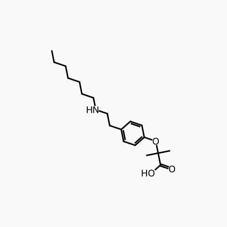 CCCCCCCNCCc1ccc(OC(C)(C)C(=O)O)cc1